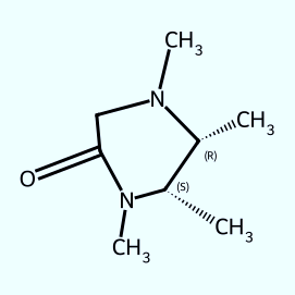 C[C@@H]1[C@H](C)N(C)C(=O)CN1C